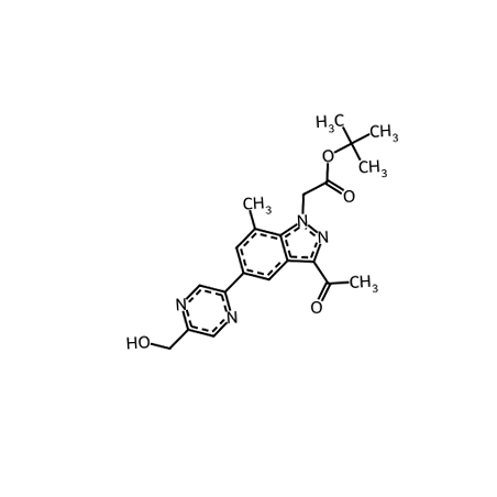 CC(=O)c1nn(CC(=O)OC(C)(C)C)c2c(C)cc(-c3cnc(CO)cn3)cc12